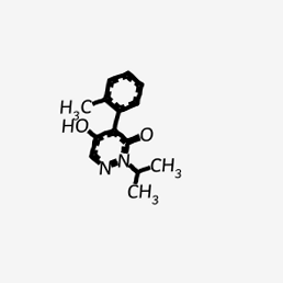 Cc1ccccc1-c1c(O)cnn(C(C)C)c1=O